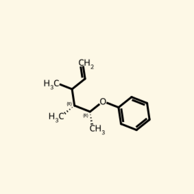 C=CC(C)[C@@H](C)[C@@H](C)Oc1ccccc1